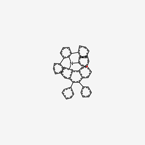 c1ccc(-c2cccc(-c3ccccc3)c2N(c2ccccc2)c2cccc3c(-c4ccccc4)c(-c4ccccc4)c4ccccc4c23)cc1